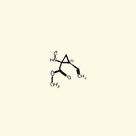 C=C[C@@H]1CC1(NCl)C(=O)OC